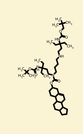 CCC(CC)(CCNCCCCN(CCC(CC)(CC)NC(=O)OC(C)(C)C)C(=O)OC1CCC2C(=CCC3C4CCCC4CCC23)C1)NC(=O)OCC(C)(C)C